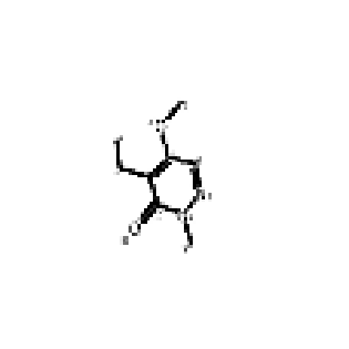 CCc1c(OC)cnn(C)c1=O